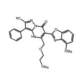 COCCOCc1[nH]c2c(-c3ccccc3)c(C#N)nn2c(=O)c1-c1nc2c(OC)cccc2o1